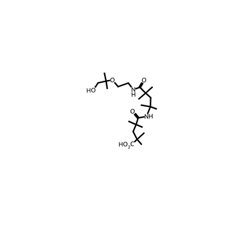 CC(C)(CC(C)(C)C(=O)NCCOC(C)(C)CO)NC(=O)C(C)(C)CC(C)(C)C(=O)O